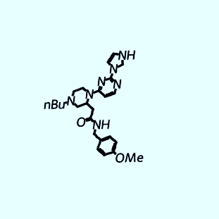 CCCCN1CCN(c2ccnc(N3C=CNC3)n2)C(CC(=O)NCc2ccc(OC)cc2)C1